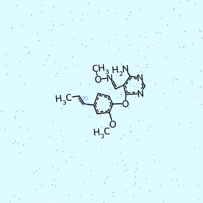 C/C=C/c1ccc(Oc2ncnc(N)c2C=NOC)c(OC)c1